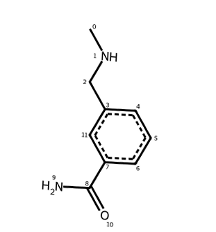 CNCc1cccc(C(N)=O)c1